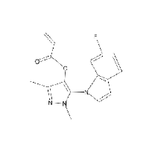 C=CC(=O)Oc1c(C)nn(C)c1-n1ccc2ccc(F)cc21